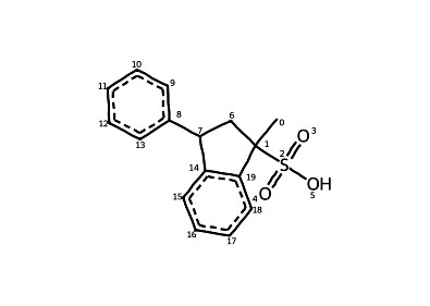 CC1(S(=O)(=O)O)CC(c2ccccc2)c2ccccc21